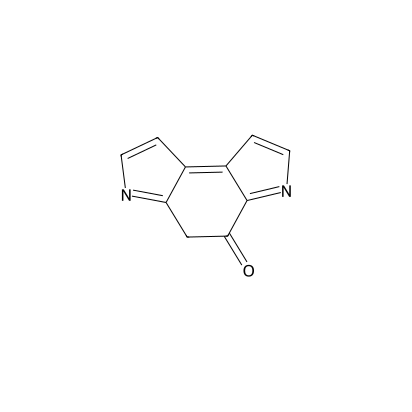 O=C1CC2=NC=CC2=C2C=CN=C12